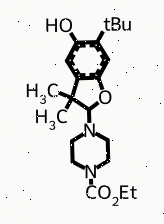 CCOC(=O)N1CCN(C2Oc3cc(C(C)(C)C)c(O)cc3C2(C)C)CC1